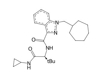 CC(C)(C)[C@H](NC(=O)c1nn(CC2CCCCCC2)c2ccccc12)C(=O)NC1CC1